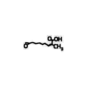 CC(=CCCCCCC1CO1)C(=O)O